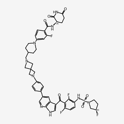 O=C1CC[C@@H](NC(=O)c2ccc(N3CCC(CN4CC5(C4)CN(c4ccc(-c6cnc7[nH]cc(C(=O)c8c(F)ccc(NS(=O)(=O)N9CC[C@@H](F)C9)c8F)c7c6)cc4)C5)CC3)cc2F)C(=O)N1